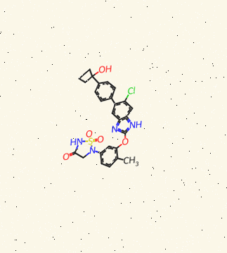 Cc1ccc(N2CC(=O)NS2(=O)=O)cc1Oc1nc2cc(-c3ccc(C4(O)CCC4)cc3)c(Cl)cc2[nH]1